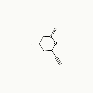 C#CC1CC(C)CS(=O)O1